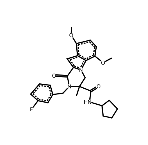 COc1ccc(OC)c2c1cc1n2CC(C)(C(=O)NC2CCCC2)N(Cc2cccc(F)c2)C1=O